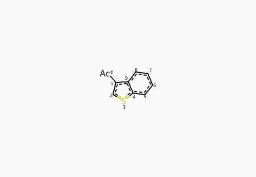 CC(=O)c1csc2ccc[c]c12